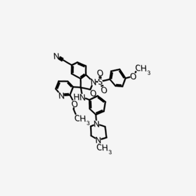 CCOc1ncccc1C1(Nc2cccc(N3CCN(C)CC3)c2)C(=O)N(S(=O)(=O)c2ccc(OC)cc2)c2ccc(C#N)cc21